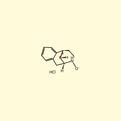 Cl.[O-][NH+]1CC[C@]23C=CCC[C@H]2[C@H]1Cc1ccccc13